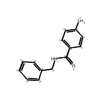 Cc1ccc(C(=O)NCc2ccccc2)cc1